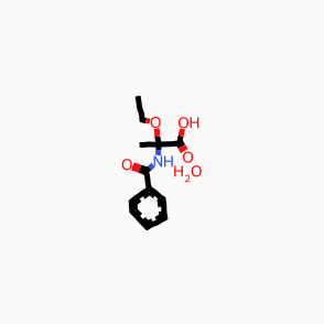 CCOC(C)(NC(=O)c1ccccc1)C(=O)O.O